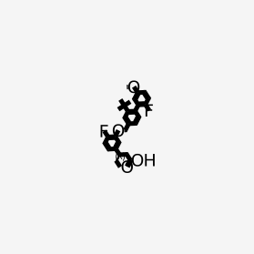 CC[C@H](CC(=O)O)c1ccc(F)c(OCc2ccc(-c3cc(OC)ccc3F)c(C(C)(C)C)c2)c1